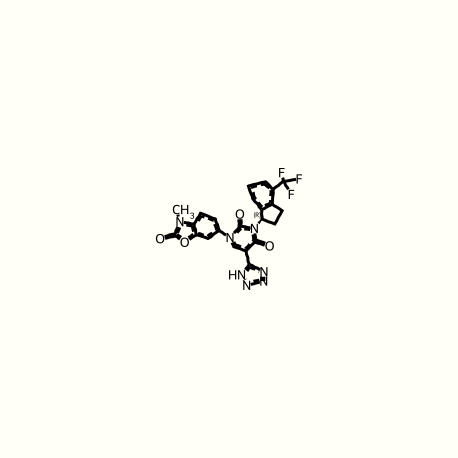 Cn1c(=O)oc2cc(-n3cc(-c4nnn[nH]4)c(=O)n([C@@H]4CCc5c4cccc5C(F)(F)F)c3=O)ccc21